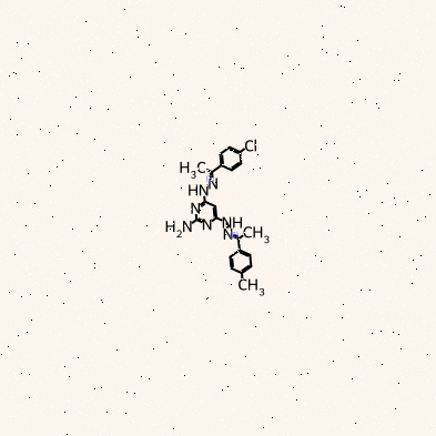 C/C(=N\Nc1cc(N/N=C(\C)c2ccc(Cl)cc2)nc(N)n1)c1ccc(C)cc1